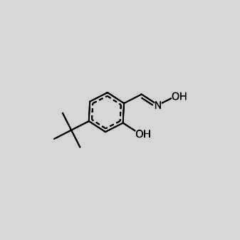 CC(C)(C)c1ccc(C=NO)c(O)c1